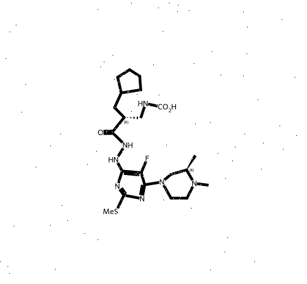 CSc1nc(NNC(=O)[C@@H](CNC(=O)O)CC2CCCC2)c(F)c(N2CCN(C)[C@H](C)C2)n1